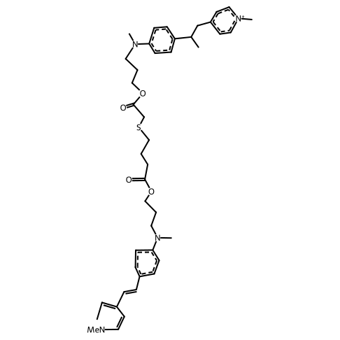 C/C=C(\C=C/NC)/C=C/c1ccc(N(C)CCCOC(=O)CCCSCC(=O)OCCCN(C)c2ccc(C(C)Cc3cc[n+](C)cc3)cc2)cc1